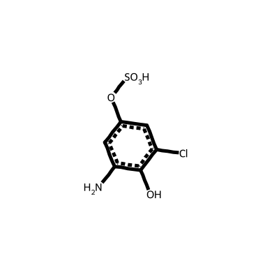 Nc1cc(OS(=O)(=O)O)cc(Cl)c1O